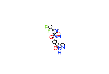 CN1C[C@H](C2C=CC=C(F)C2F)CC[C@@H](NC(=O)c2ccc3c(c2)CC2(C3)C(=O)Nc3ncccc32)C1=O